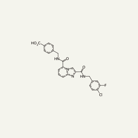 O=C(O)c1ccc(CNC(=O)c2cccc3nc(C(=O)NCc4ccc(Cl)c(F)c4)cn23)cc1